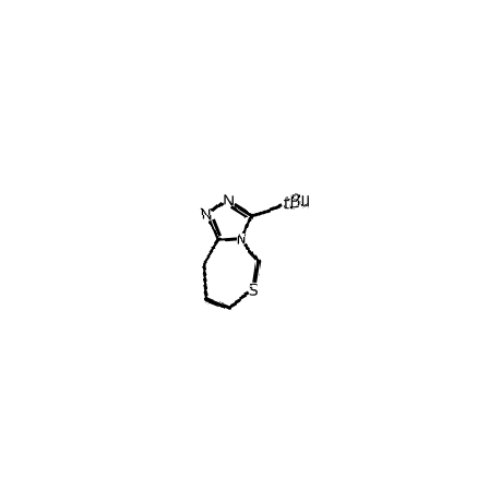 CC(C)(C)c1nnc2n1CSCCC2